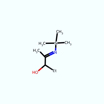 CCC(O)C(C)=N[Si](C)(C)C